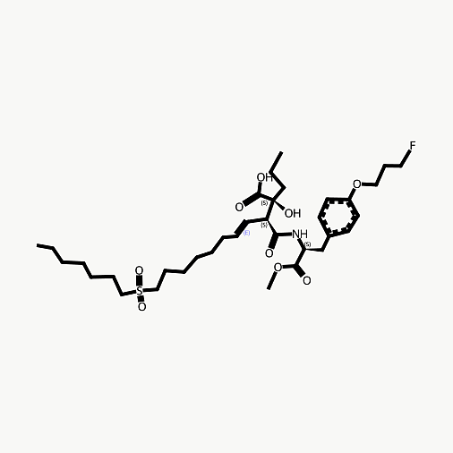 CCCCCCCS(=O)(=O)CCCCCC/C=C/[C@H](C(=O)N[C@@H](Cc1ccc(OCCCF)cc1)C(=O)OC)[C@@](O)(CCC)C(=O)O